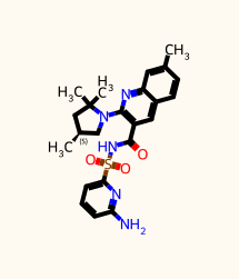 Cc1ccc2cc(C(=O)NS(=O)(=O)c3cccc(N)n3)c(N3C[C@@H](C)CC3(C)C)nc2c1